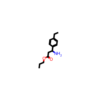 CCCOC(=O)CC(N)c1ccc(CC)cc1